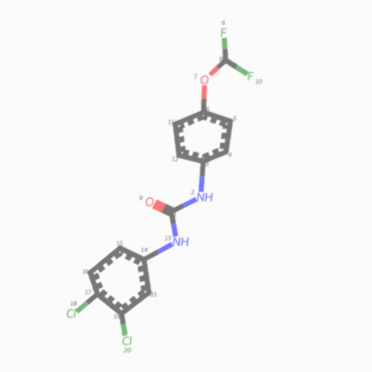 O=C(Nc1ccc(OC(F)F)cc1)Nc1ccc(Cl)c(Cl)c1